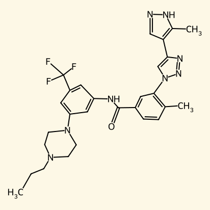 CCCN1CCN(c2cc(NC(=O)c3ccc(C)c(-n4cc(-c5cn[nH]c5C)nn4)c3)cc(C(F)(F)F)c2)CC1